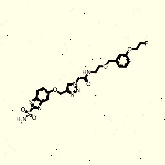 NS(=O)(=O)c1nc2cc(OCc3cn(CC(=O)NCCOCc4cccc(OCCF)c4)nn3)ccc2s1